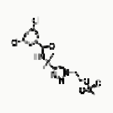 CC(C)(NC(=O)c1cc(Cl)cc(Cl)c1)c1cn(CCOS(C)(=O)=O)nn1